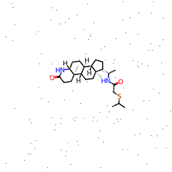 CC(C)SCC(=O)NC(C)[C@H]1CC[C@H]2[C@@H]3CC[C@H]4NC(=O)CC[C@]4(C)[C@H]3CC[C@]12C